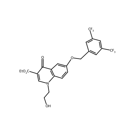 CCOC(=O)c1cn(CCO)c2ccc(OCc3cc(C(F)(F)F)cc(C(F)(F)F)c3)cc2c1=O